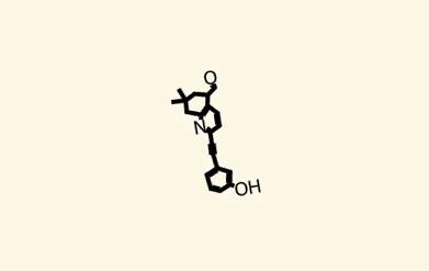 CC1(C)Cc2nc(C#Cc3cccc(O)c3)ccc2C(C=O)C1